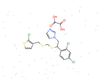 Clc1ccc(C(Cn2ccnc2)SCSCc2ccsc2Cl)c(Cl)c1.O=C(O)C(=O)O